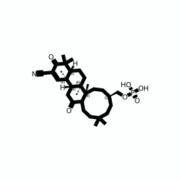 CC1(C)CCC2C(=O)C[C@@H]3[C@@]4(C)C=C(C#N)C(=O)C(C)(C)[C@@H]4CC[C@@]3(C)[C@]2(C)CC[C@@H](COP(=O)(O)O)CC1